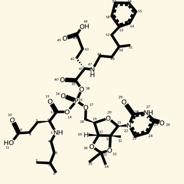 CC(C)CCN[C@@H](CCC(=O)O)C(=O)OP(=O)(OC[C@H]1O[C@@H](n2ccc(=O)[nH]c2=O)[C@]2(C)OC(C)(C)O[C@H]12)OC(=O)[C@H](CCC(=O)O)NCCC(C)Cc1ccccc1